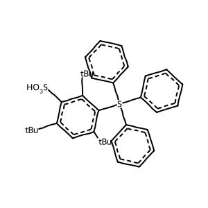 CC(C)(C)c1cc(C(C)(C)C)c(S(=O)(=O)O)c(C(C)(C)C)c1S(c1ccccc1)(c1ccccc1)c1ccccc1